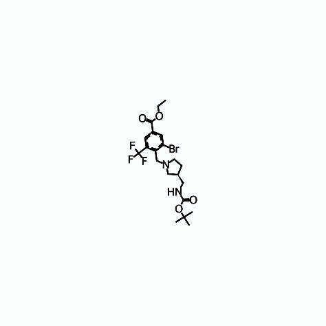 CCOC(=O)c1cc(Br)c(CN2CC[C@@H](CNC(=O)OC(C)(C)C)C2)c(C(F)(F)F)c1